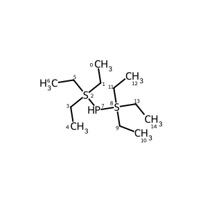 CCS(CC)(CC)PS(CC)(CC)CC